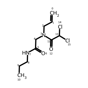 C=CCN(CC(=O)NCCC)C(=O)C(Cl)Cl